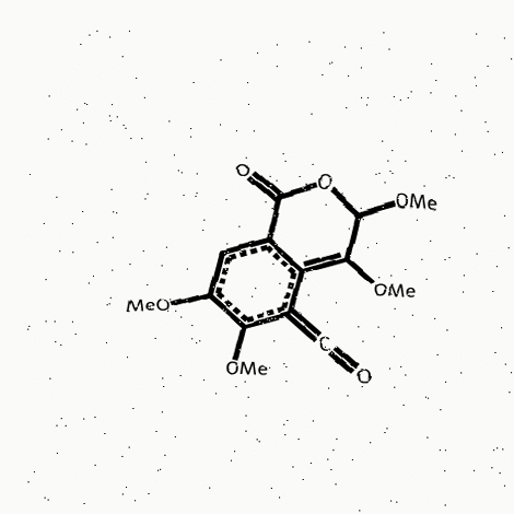 COC1=c2c(cc(OC)c(OC)c2=C=O)C(=O)OC1OC